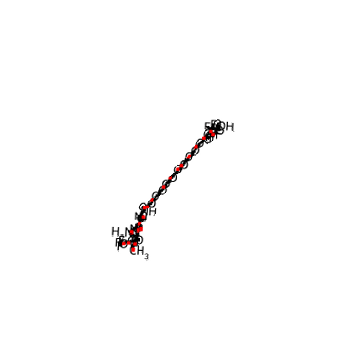 CCCN(OCCOC(F)(F)F)C(=O)C1=Cc2ccc(-c3cnc(CNC(=O)CCOCCOCCOCCOCCOCCOCCOCCOCCOCCOCCC(=O)Oc4c(F)c(F)c(S(=O)(=O)O)c(F)c4F)nc3)cc2N=C(N)C1